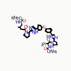 COC(=O)NCC(C)CC(=O)N1CCCC1c1ncc(-c2ccc(Oc3ccc(-c4cnc(C5CCCN5C(=O)C(NC(=O)OC)C(C)C)[nH]4)cc3)cc2)[nH]1